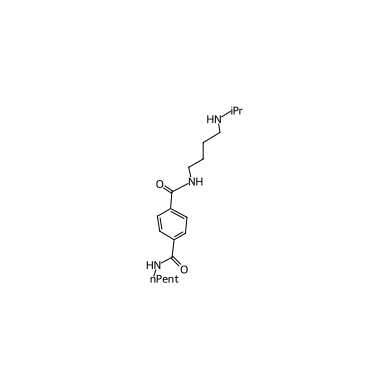 CCCCCNC(=O)c1ccc(C(=O)NCCCCNC(C)C)cc1